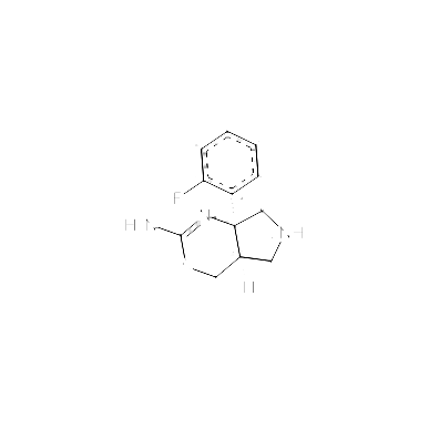 NC1=N[C@@]2(c3ccccc3F)CNC[C@H]2CS1